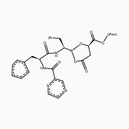 CCCCCOC(=O)[C@H]1CC(=O)OB([C@H](CC(C)C)NC(=O)[C@H](Cc2ccccc2)NC(=O)c2cnccn2)O1